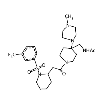 CC(=O)NCC1(N2CCN(C)CC2)CCN(C(=O)CC2CCCCN2S(=O)(=O)c2cccc(C(F)(F)F)c2)CC1